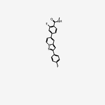 CNC(=O)c1ccc(-c2ccn3nc(-c4ccc(F)cc4)cc3c2)cc1F